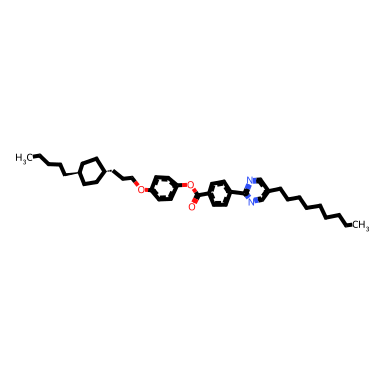 CCCCCCCCCc1cnc(-c2ccc(C(=O)Oc3ccc(OCCC[C@H]4CC[C@H](CCCCC)CC4)cc3)cc2)nc1